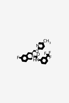 Cc1ccc(OC[C@@H]2Cc3cc(F)ccc3CN2C(=O)Nc2cccc(C(F)(F)F)c2)nc1